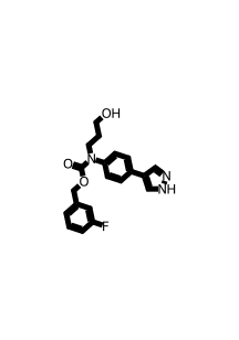 O=C(OCc1cccc(F)c1)N(CCCO)c1ccc(-c2cn[nH]c2)cc1